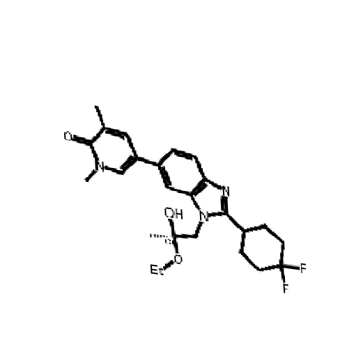 CCO[C@@](C)(O)Cn1c(C2CCC(F)(F)CC2)nc2ccc(-c3cc(C)c(=O)n(C)c3)cc21